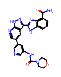 NC(=O)c1cccc2[nH]c(-c3n[nH]c4ncc(-c5cncc(NC(=O)N6CCOCC6)c5)cc34)nc12